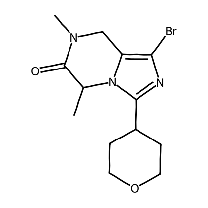 CC1C(=O)N(C)Cc2c(Br)nc(C3CCOCC3)n21